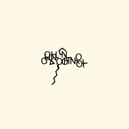 CCCCC/C=C\[C@@H]1C[C@]1(NC(=O)[C@@H]1CCCN1C(=O)CNC(=O)OC(C)(C)C)C(=O)O